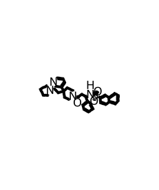 O=C(CC(NS(=O)(=O)c1ccc2ccccc2c1)c1ccccc1)N1CCC(CCN2CCCC2)(c2cccnc2)CC1